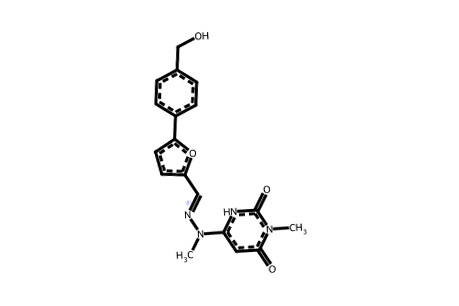 CN(/N=C/c1ccc(-c2ccc(CO)cc2)o1)c1cc(=O)n(C)c(=O)[nH]1